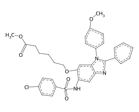 COC(=O)CCCCCOc1cc2c(cc1NS(=O)(=O)c1ccc(Cl)cc1)nc(-c1ccccc1)n2-c1ccc(OC)cc1